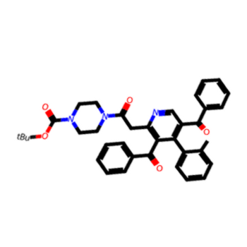 Cc1ccccc1-c1c(C(=O)c2ccccc2)cnc(CC(=O)N2CCN(C(=O)OC(C)(C)C)CC2)c1C(=O)c1ccccc1